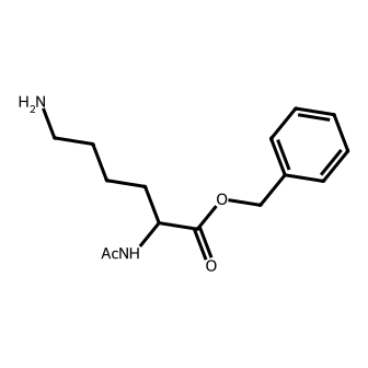 CC(=O)NC(CCCCN)C(=O)OCc1ccccc1